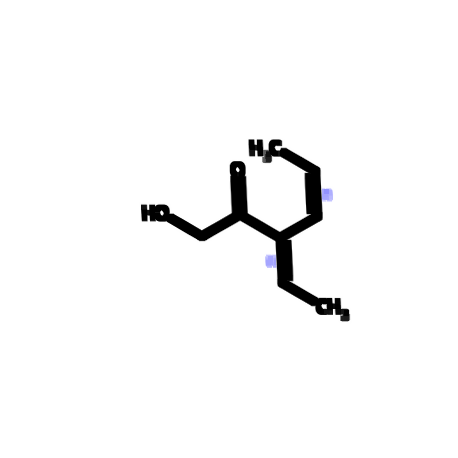 C/C=C\C(=C/C)C(=O)CO